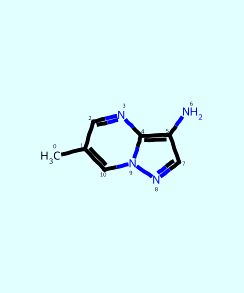 Cc1cnc2c(N)cnn2c1